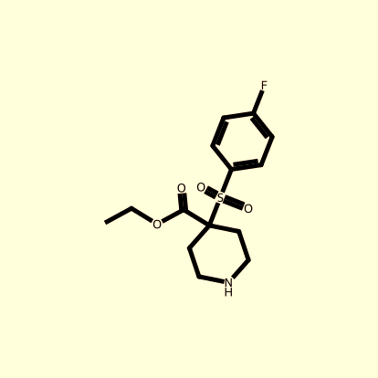 CCOC(=O)C1(S(=O)(=O)c2ccc(F)cc2)CCNCC1